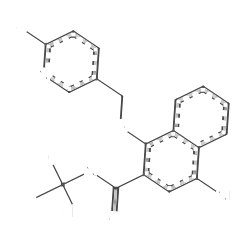 CCC(C)(NC(=O)c1cc(N)c2ccccc2c1OCc1ccc(C(F)(F)F)nc1)C(=O)O